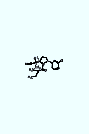 CCC(N)C(=O)N1[C@H](c2cccc(Cl)c2)CC[C@@H]1C(C)(C)C#N